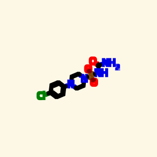 NC(=O)NS(=O)(=O)N1CCN(c2ccc(Cl)cc2)CC1